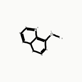 IOC1=C2N=CC=CC2CC=C1